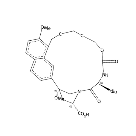 COc1ccc2ccc3cc2c1CCCCCOC(=O)N[C@@H](C(C)(C)C)C(=O)N1C[C@@]3(OC)C[C@H]1C(=O)O